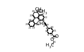 CCOC(=O)c1ccc(C#Cc2ccc3c(c2)C(c2ccccc2C)=CCC3(C)C)cc1